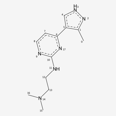 Cc1n[nH]cc1-c1ccnc(NCCN(C)C)n1